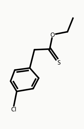 CCOC(=S)Cc1ccc(Cl)cc1